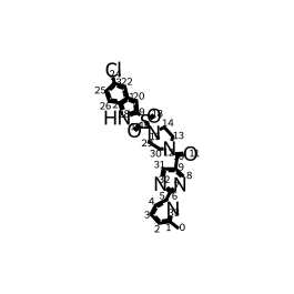 Cc1cccc(-c2ncc(C(=O)N3CCN(S(=O)(=O)c4cc5cc(Cl)ccc5[nH]4)CC3)cn2)n1